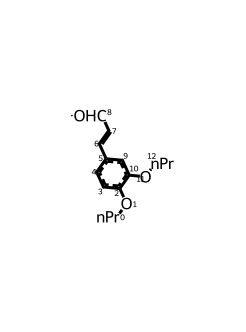 CCCOc1ccc(/C=C/[C]=O)cc1OCCC